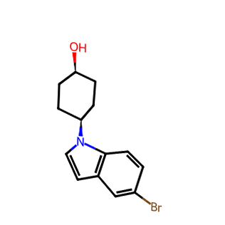 O[C@H]1CC[C@@H](n2ccc3cc(Br)ccc32)CC1